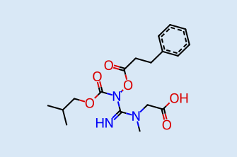 CC(C)COC(=O)N(OC(=O)CCc1ccccc1)C(=N)N(C)CC(=O)O